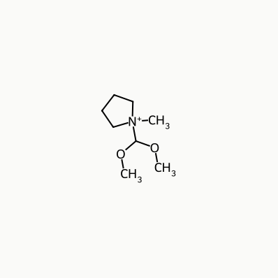 COC(OC)[N+]1(C)CCCC1